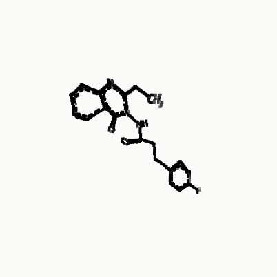 CCc1nc2ccccc2c(=O)n1NC(=O)CCc1ccc(F)cc1